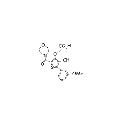 COc1cccc(-c2sc(C(=O)N3CCOCC3)c(OCC(=O)O)c2C)c1